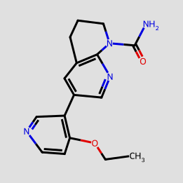 CCOc1ccncc1-c1cnc2c(c1)CCCN2C(N)=O